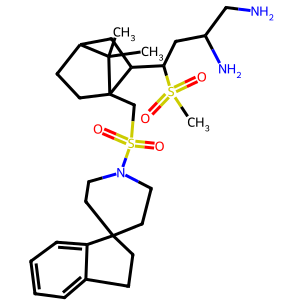 CC1(C)C2CCC1(CS(=O)(=O)N1CCC3(CCc4ccccc43)CC1)C(C(CC(N)CN)S(C)(=O)=O)C2